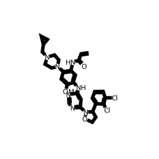 C=CC(=O)Nc1cc(Nc2cc(N3OCCC3c3cccc(Cl)c3Cl)ncn2)c(OC)cc1N1CCN(CC2CC2)CC1